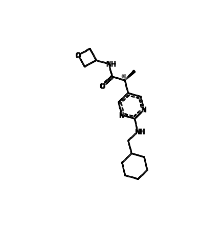 C[C@H](C(=O)NC1COC1)c1cnc(NCC2CCCCC2)nc1